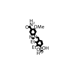 CCc1c(Cn2cnc3cc(C(N)=O)c(OC)cc32)ccc(P(=O)(O)O)c1CC